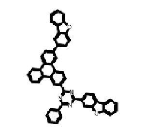 c1ccc(-c2nc(-c3ccc4c(c3)oc3ccccc34)nc(-c3ccc4c5cc(-c6ccc7oc8ccccc8c7c6)ccc5c5ccccc5c4c3)n2)cc1